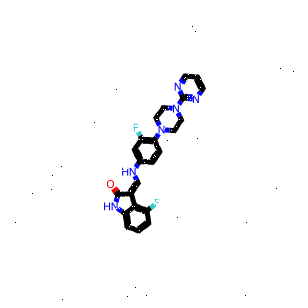 O=C1Nc2cccc(F)c2C1=CNc1ccc(N2CCN(c3ncccn3)CC2)c(F)c1